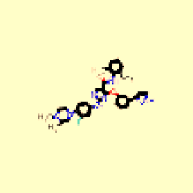 Cc1cccc(C)c1NC(=O)c1cnc(Nc2ccc(N3CCN(C)C(C)C3)c(F)c2)nc1Oc1cccc(-c2cc[nH]n2)c1